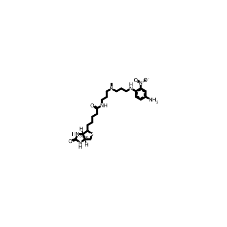 CN(CCCNC(=O)CCCCC1SC[C@@H]2NC(=O)N[C@H]12)CCCNc1ccc(N)cc1[N+](=O)[O-]